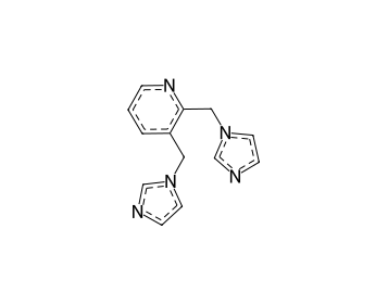 c1cnc(Cn2ccnc2)c(Cn2ccnc2)c1